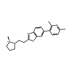 Cc1ccc(-c2ccc3nc(CCN4CCC[C@H]4C)sc3c2)c(C)n1